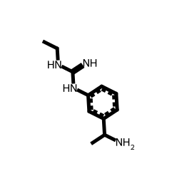 CCNC(=N)Nc1cccc(C(C)N)c1